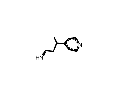 CC(CC=N)c1ccncc1